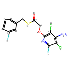 Nc1c(Cl)c(F)nc(OCC(=O)SCc2cccc(F)c2)c1Cl